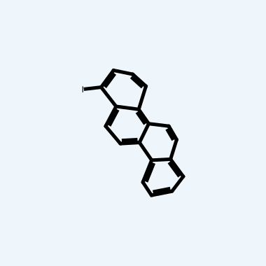 Ic1cccc2c1ccc1c3ccccc3ccc21